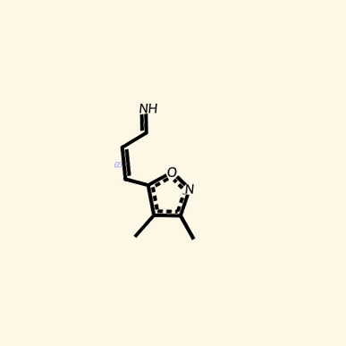 Cc1noc(/C=C\C=N)c1C